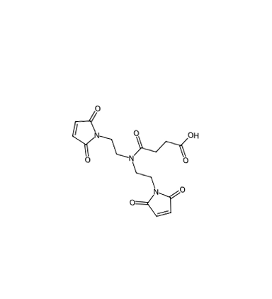 O=C(O)CCC(=O)N(CCN1C(=O)C=CC1=O)CCN1C(=O)C=CC1=O